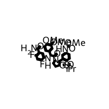 COC(=O)Nc1ccc(S(=O)(=O)C(C)C)c(C2CCCN2C(=O)C(Nc2cc(C(N)=O)c(F)cc2F)c2ccc(OC)c(OC)c2)c1